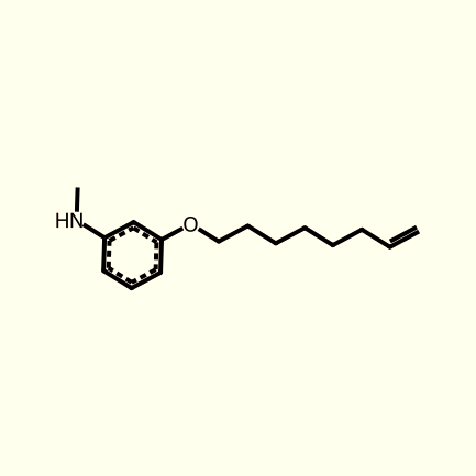 C=CCCCCCCOc1cccc(NC)c1